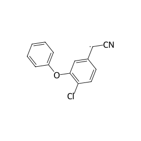 N#C[CH]c1ccc(Cl)c(Oc2ccccc2)c1